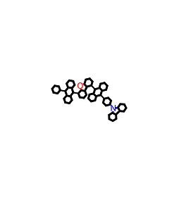 c1ccc(-c2c3ccccc3c(-c3cccc4c3oc3cccc(-c5c6ccccc6c(-c6ccc(-n7c8ccccc8c8ccccc87)cc6)c6ccccc56)c34)c3ccccc23)cc1